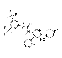 Cc1ccccc1-c1cc([N+]2(O)CCN(C)CC2)ncc1N(C)C(=O)C(C)(C)c1cc(C(F)(F)F)cc(C(F)(F)F)c1